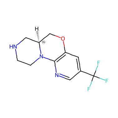 FC(F)(F)c1cnc2c(c1)OC[C@@H]1CNCCN21